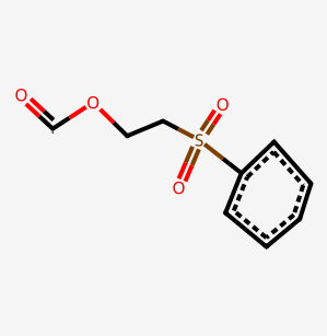 O=[C]OCCS(=O)(=O)c1ccccc1